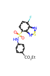 CCOC(=O)c1ccc(NS(=O)(=O)c2ccc(F)c3nsnc23)cc1